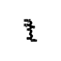 COC(=O)CCCNC(=O)C(N)CC(=O)O